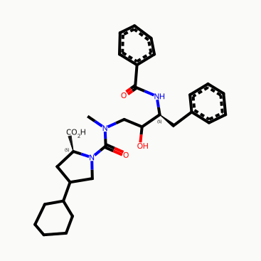 CN(CC(O)[C@H](Cc1ccccc1)NC(=O)c1ccccc1)C(=O)N1CC(C2CCCCC2)C[C@H]1C(=O)O